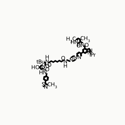 Cc1cc(C)c(CNC(=O)c2cc(-c3ccc(N4CCN(CCNC(=O)CCCCCCC(=O)NC(C(=O)N5C[C@H](O)C[C@H]5C(=O)NCc5ccc(-c6scnc6C)cc5)C(C)(C)C)CC4)nc3)cc3c2cnn3C(C)C)c(=O)[nH]1